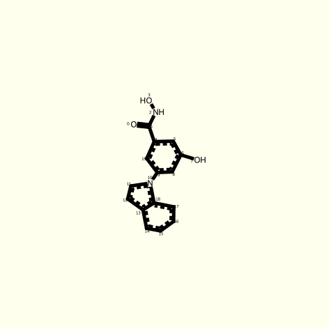 O=C(NO)c1cc(O)cc(-n2ccc3c[c]ccc32)c1